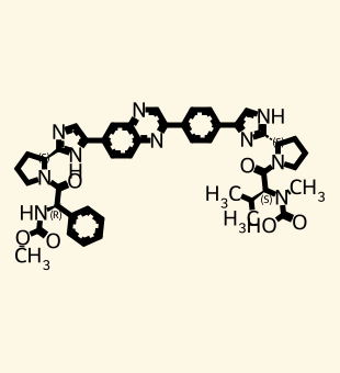 COC(=O)N[C@@H](C(=O)N1CCC[C@H]1c1ncc(-c2ccc3nc(-c4ccc(-c5c[nH]c([C@@H]6CCCN6C(=O)[C@H](C(C)C)N(C)C(=O)O)n5)cc4)cnc3c2)[nH]1)c1ccccc1